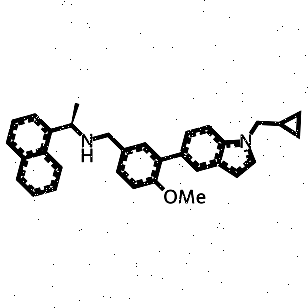 COc1ccc(CN[C@H](C)c2cccc3ccccc23)cc1-c1ccc2c(ccn2CC2CC2)c1